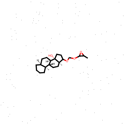 CC1OC1OCOC1CC[C@]2(O)[C@@H]3CC[C@@H]4CCCC[C@]4(C)[C@H]3CC[C@]12C